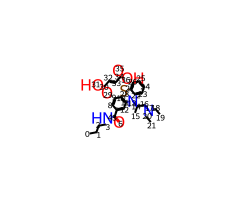 CCCCNC(=O)c1ccc2c(c1)N(C(C)CN(CC)CC)c1ccccc1S2.O=C(O)/C=C/C(=O)O